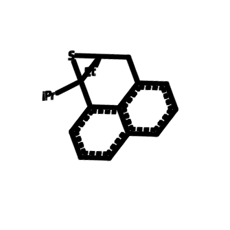 CCC12Cc3cccc4cccc(c34)C1(C(C)C)S2